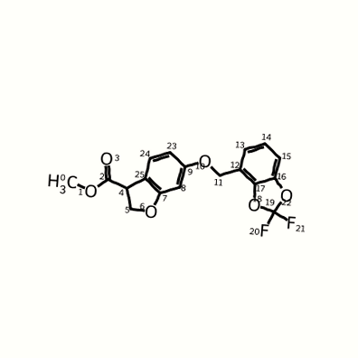 COC(=O)C1COc2cc(OCc3cccc4c3OC(F)(F)O4)ccc21